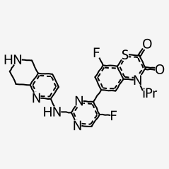 CC(C)n1c(=O)c(=O)sc2c(F)cc(-c3nc(Nc4ccc5c(n4)CCNC5)ncc3F)cc21